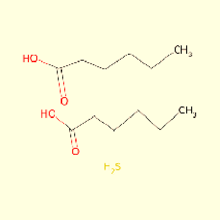 CCCCCC(=O)O.CCCCCC(=O)O.S